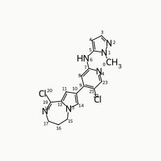 Cn1nccc1Nc1cc(-c2cc3n(c2)CCCN=C3Cl)c(Cl)cn1